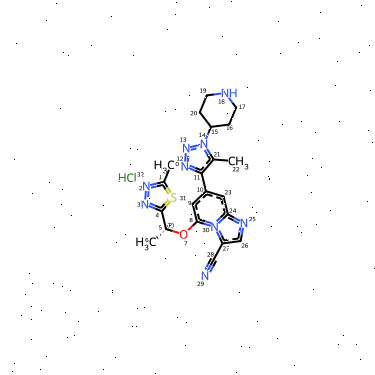 Cc1nnc([C@@H](C)Oc2cc(-c3nnn(C4CCNCC4)c3C)cc3ncc(C#N)n23)s1.Cl